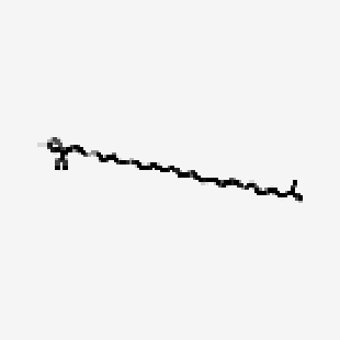 CC(C)CCCCCCCCCCCCCCCCCCCCCCC(=O)O